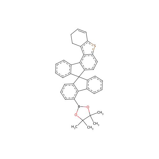 CC1(C)OB(c2cccc3c2-c2ccccc2C32c3ccccc3-c3c2ccc2sc4c(c32)CCC=C4)OC1(C)C